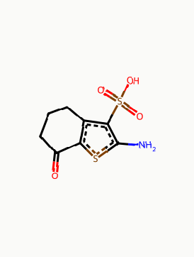 Nc1sc2c(c1S(=O)(=O)O)CCCC2=O